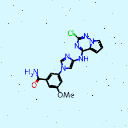 COc1cc(C(N)=O)cc(-n2cnc(Nc3nc(Cl)nn4cccc34)c2)c1